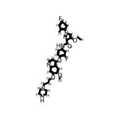 CCOc1cn(-c2ccc(F)cc2C)nc1C(=O)Nc1ccc(Oc2ccnc3cc(OCCCN4CCNCC4)c(OC)cc23)c(F)c1